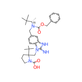 C[C@H](N(Cc1ccc2c(c1)[nH]c(=N)n2CC1(C(C)(C)C)CCCN1C(=O)O)C(=O)OCc1ccccc1)C(C)(C)C